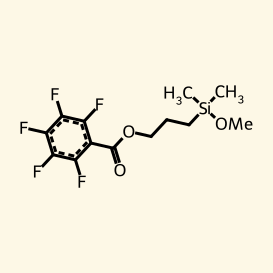 CO[Si](C)(C)CCCOC(=O)c1c(F)c(F)c(F)c(F)c1F